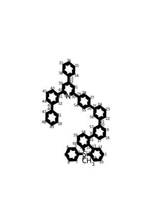 C[Si]1(c2ccccc2)c2ccccc2-c2c(-c3cccc(-c4cccc(-c5ccc(-c6cc(-c7ccccc7)cc(-c7cccc(-c8ccccc8)c7)n6)cc5)c4)c3)cccc21